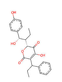 CCC(C1=C(O)C(=O)[C@@H](C(CC)[C@H](O)c2ccc(O)cc2)OC1=O)c1ccccc1